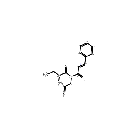 CCN(N)C(=O)N(C[C]=O)C(=O)/C=C/c1ccccc1